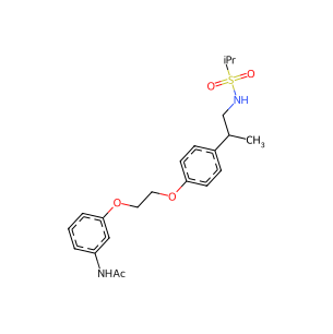 CC(=O)Nc1cccc(OCCOc2ccc(C(C)CNS(=O)(=O)C(C)C)cc2)c1